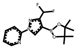 CC1(C)OB(c2cn(-c3ccccn3)nc2C(F)F)OC1(C)C